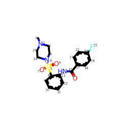 CN1CCN(S(=O)(=O)c2ccccc2NC(=O)c2ccc(F)cc2)CC1